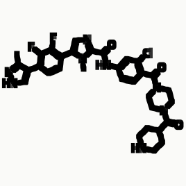 Cc1n[nH]cc1-c1ccc(-c2cnc(C(=O)Nc3ccc(C(=O)N4CCN(C(=O)C5CCNCC5)CC4)c(Cl)c3)n2C)c(F)c1F